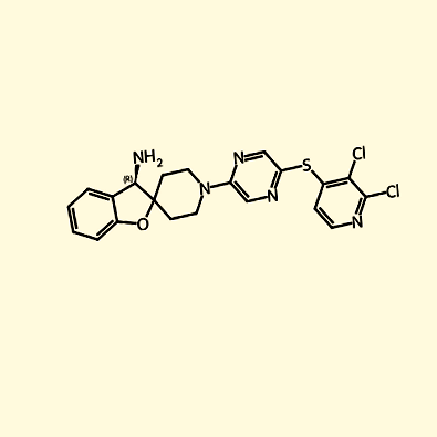 N[C@@H]1c2ccccc2OC12CCN(c1cnc(Sc3ccnc(Cl)c3Cl)cn1)CC2